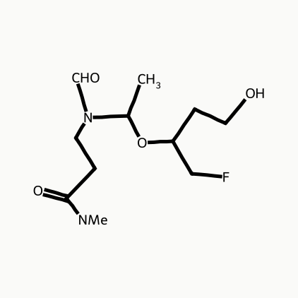 CNC(=O)CCN(C=O)C(C)OC(CF)CCO